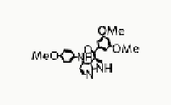 COc1ccc(Nc2ccnc3[nH]cc(C(=O)c4cc(OC)cc(OC)c4)c23)cc1